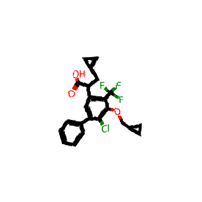 O=C(O)C(CC1CC1)c1cc(-c2ccccc2)c(Cl)c(OCC2CC2)c1C(F)(F)F